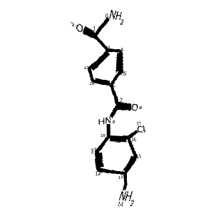 NC(=O)c1ccc(C(=O)Nc2ccc(N)cc2Cl)cc1